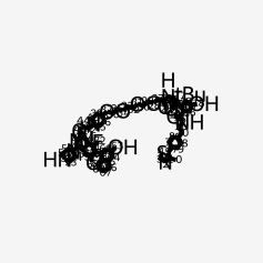 Cc1ncsc1-c1ccc(CCNC(=O)C2CC(O)CN2C(=O)[C@@H](NC(=O)COCCOCCOCCOC2CCN(C[C@@H](C)Oc3nc(N4CCNCC4)c4cc(Cl)c(-c5cc(O)cc6ccccc56)c(F)c4n3)CC2)C(C)(C)C)cc1